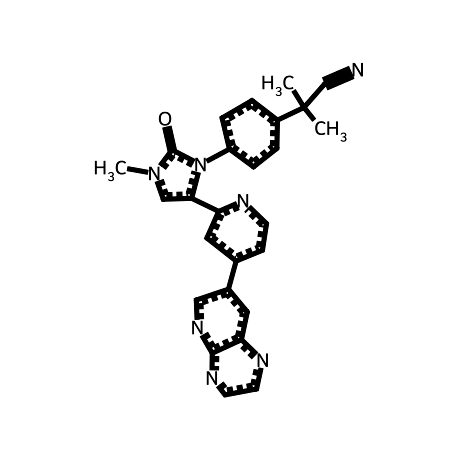 Cn1cc(-c2cc(-c3cnc4nccnc4c3)ccn2)n(-c2ccc(C(C)(C)C#N)cc2)c1=O